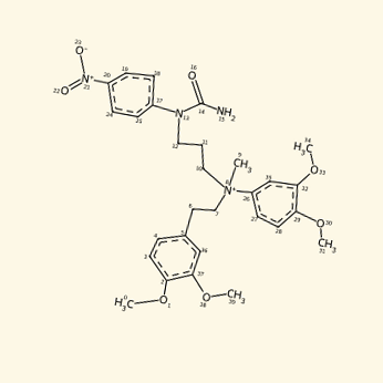 COc1ccc(CC[N+](C)(CCCN(C(N)=O)c2ccc([N+](=O)[O-])cc2)c2ccc(OC)c(OC)c2)cc1OC